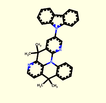 CC1(C)c2ccccc2N2c3ncc(-n4c5ccccc5c5ccccc54)cc3C(C)(C)c3nccc1c32